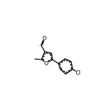 Cc1oc(-c2ccc(Cl)cc2)cc1[C]=O